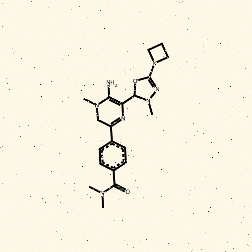 CN(C)C(=O)c1ccc(C2=NC(C3OC(N4CCC4)=NN3C)=C(N)N(C)C2)cc1